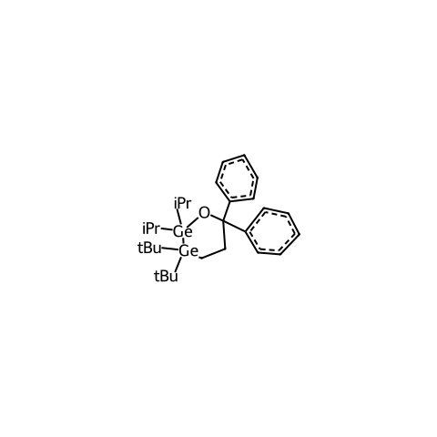 C[CH](C)[Ge]1([CH](C)C)[O]C(c2ccccc2)(c2ccccc2)C[CH2][Ge]1([C](C)(C)C)[C](C)(C)C